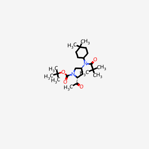 CC(=O)[C@H]1C[C@H](N(C(=O)C(C)(C)C)C2CCC(C)(C)CC2)CN1C(=O)OC(C)(C)C